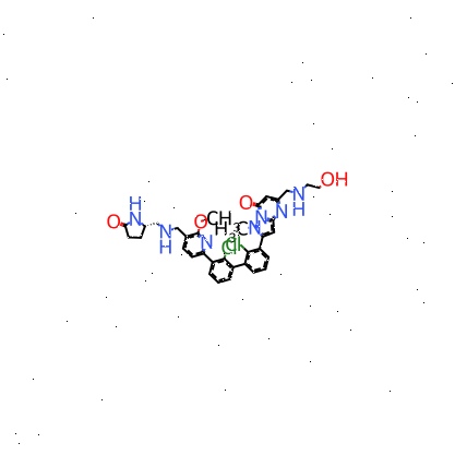 COc1nc(-c2cccc(-c3cccc(-c4cc5nc(CNCCO)cc(=O)n5n4C)c3Cl)c2Cl)ccc1CNC[C@@H]1CCC(=O)N1